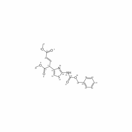 COC(=O)/C=C/C(C(=O)OC)c1csc(NC(=O)OCc2ccccc2)n1